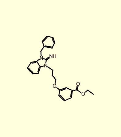 CCOC(=O)c1cccc(OCCCn2c(=N)n(Cc3ccccc3)c3ccccc32)c1